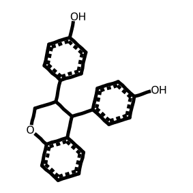 Oc1ccc(C2COc3ccccc3C2c2ccc(O)cc2)cc1